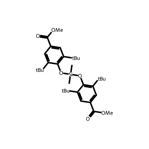 COC(=O)c1cc(C(C)(C)C)c(O[Si](C)(C)Oc2c(C(C)(C)C)cc(C(=O)OC)cc2C(C)(C)C)c(C(C)(C)C)c1